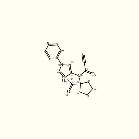 C#CC(=O)N(c1ccn(-c2ccccc2)n1)C1(C(N)=O)CCCC1